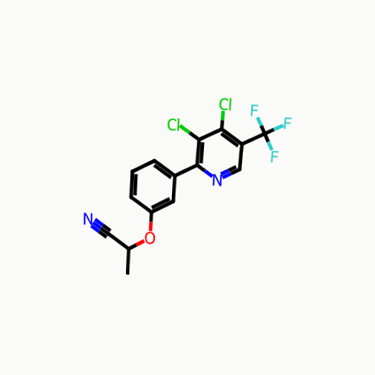 CC(C#N)Oc1cccc(-c2ncc(C(F)(F)F)c(Cl)c2Cl)c1